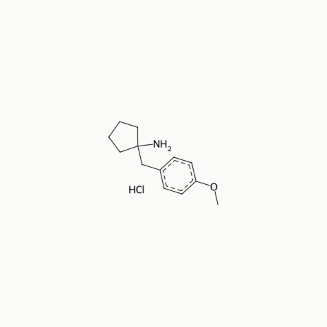 COc1ccc(CC2(N)CCCC2)cc1.Cl